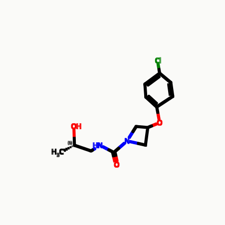 C[C@H](O)CNC(=O)N1CC(Oc2ccc(Cl)cc2)C1